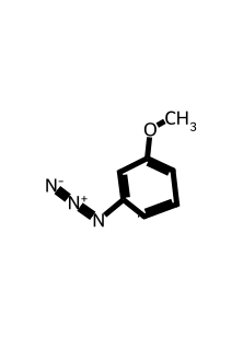 COc1cc[c]c(N=[N+]=[N-])c1